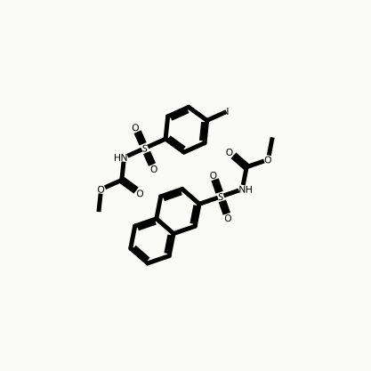 COC(=O)NS(=O)(=O)c1ccc(I)cc1.COC(=O)NS(=O)(=O)c1ccc2ccccc2c1